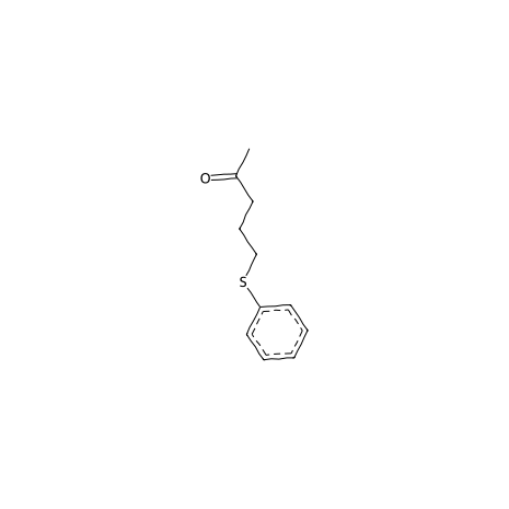 CC(=O)CCCSc1ccccc1